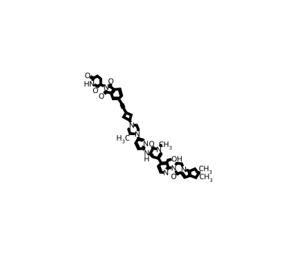 C[C@H]1CN(C2CC(C#Cc3ccc4c(c3)C(=O)N(C3CCC(=O)NC3=O)C4=O)C2)CCN1c1ccc(Nc2cc(-c3ccnc(N4CCn5c(cc6c5CC(C)(C)C6)C4=O)c3CO)cn(C)c2=O)nc1